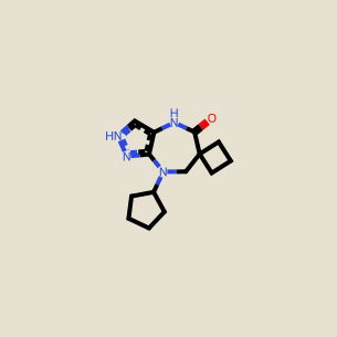 O=C1Nc2c[nH]nc2N(C2CCCC2)CC12CCC2